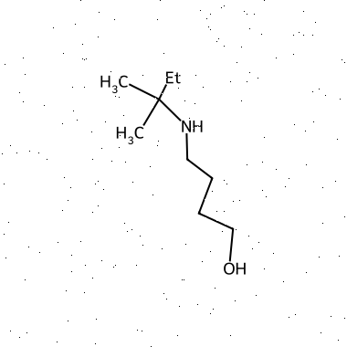 CCC(C)(C)NCCCCO